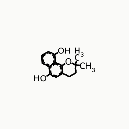 CC1(C)CCc2cc(O)c3cccc(O)c3c2O1